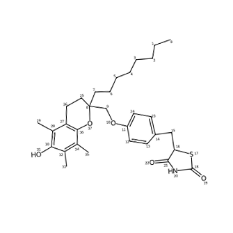 CCCCCCCCC1(COc2ccc(CC3SC(=O)NC3=O)cc2)CCc2c(C)c(O)c(C)c(C)c2O1